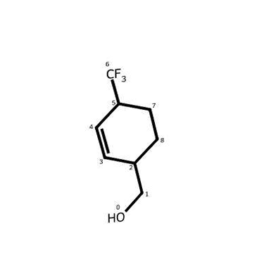 OCC1C=CC(C(F)(F)F)CC1